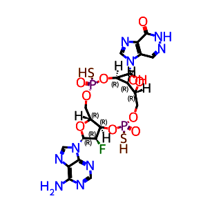 Nc1ncnc2c1ncn2[C@@H]1O[C@@H]2COP(=O)(S)O[C@@H]3[C@H](O)[C@@H](COP(=O)(S)O[C@H]2[C@H]1F)O[C@H]3n1cnc2c(=O)[nH]ncc21